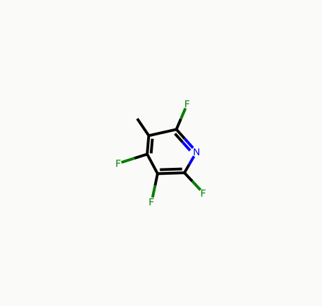 Cc1c(F)nc(F)c(F)c1F